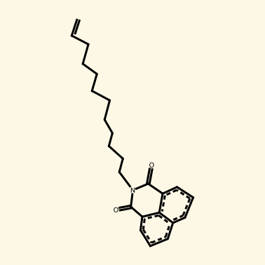 C=CCCCCCCCCCCN1C(=O)c2cccc3cccc(c23)C1=O